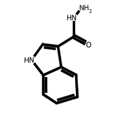 NNC(=O)c1[c][nH]c2ccccc12